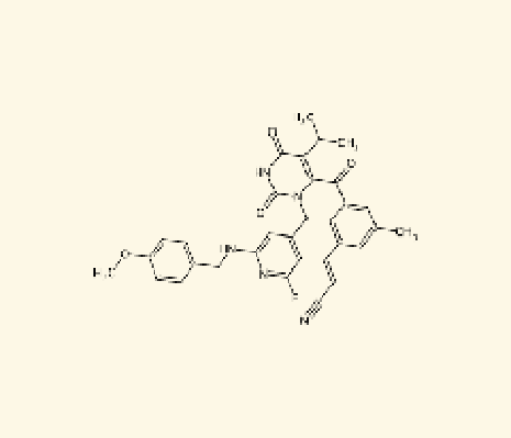 COc1ccc(CNc2cc(Cn3c(C(=O)c4cc(C)cc(C=CC#N)c4)c(C(C)C)c(=O)[nH]c3=O)cc(F)n2)cc1